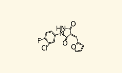 O=C1NN(c2ccc(F)c(Cl)c2)C(=O)/C1=C\c1ccco1